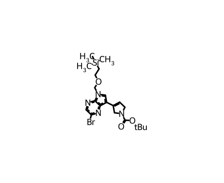 CC(C)(C)OC(=O)N1CC=C(c2cn(COCC[Si](C)(C)C)c3ncc(Br)nc23)C1